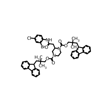 CC(C)(COC(=O)N1CCN(C(=O)OCC(C)(C)CC2c3ccccc3-c3ccccc32)C(CC(=O)Nc2ccc(Cl)cc2Br)C1)CC1c2ccccc2-c2ccccc21